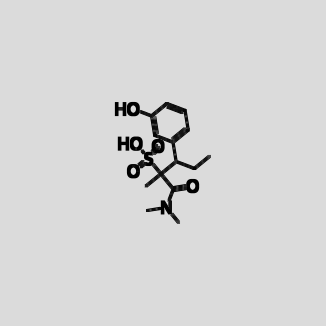 CCC(c1cccc(O)c1)C(C)(C(=O)N(C)C)S(=O)(=O)O